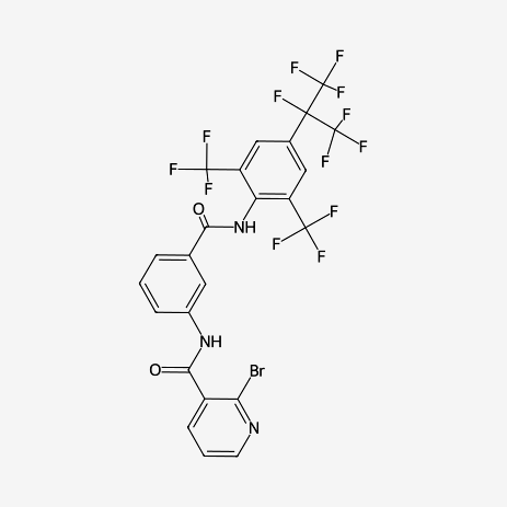 O=C(Nc1c(C(F)(F)F)cc(C(F)(C(F)(F)F)C(F)(F)F)cc1C(F)(F)F)c1cccc(NC(=O)c2cccnc2Br)c1